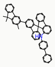 Cc1cc2c(cc1-c1ccc3c(c1)-c1ccccc1C31c3ccccc3-c3cccc(Nc4ccc(-c5ccccc5)cc4)c31)-c1ccccc1C2(C)C